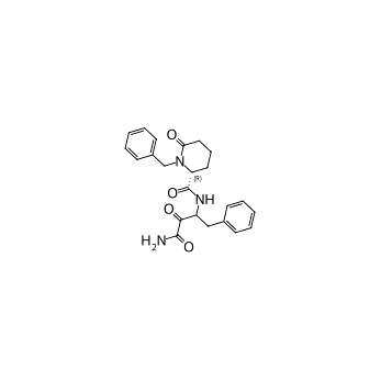 NC(=O)C(=O)C(Cc1ccccc1)NC(=O)[C@H]1CCCC(=O)N1Cc1ccccc1